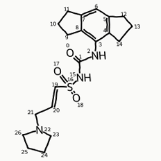 O=C(Nc1c2c(cc3c1CCC3)CCC2)NS(=O)(=O)/C=C/CN1CCCC1